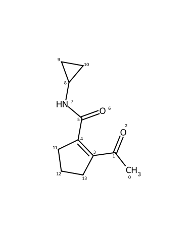 CC(=O)C1=C(C(=O)NC2CC2)CCC1